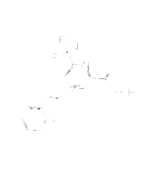 COC(=O)c1cc(SCc2ccccc2)cc(C(F)(F)F)n1